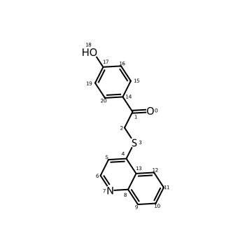 O=C(CSc1ccnc2ccccc12)c1ccc(O)cc1